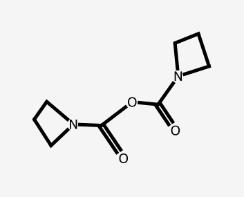 O=C(OC(=O)N1CCC1)N1CCC1